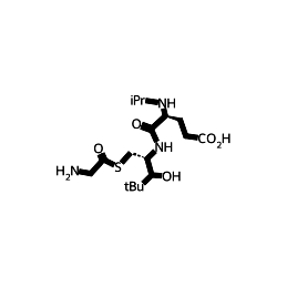 CC(C)N[C@@H](CCC(=O)O)C(=O)N[C@@H](CSC(=O)CN)C(O)C(C)(C)C